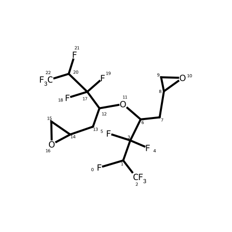 FC(C(F)(F)F)C(F)(F)C(CC1CO1)OC(CC1CO1)C(F)(F)C(F)C(F)(F)F